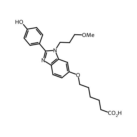 COCCCn1c(-c2ccc(O)cc2)nc2ccc(OCCCCCC(=O)O)cc21